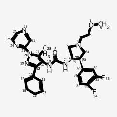 COCCN1C[C@@H](NC(=O)Nc2c(C3=CCCC=C3)nn(-c3cnccn3)c2C)[C@H](c2ccc(F)c(F)c2)C1